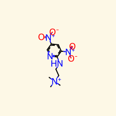 C[N+](C)(C)CCNc1ncc([N+](=O)[O-])cc1[N+](=O)[O-]